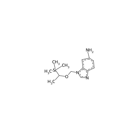 CC(OCn1cnc2ccc(N)cc21)[Si](C)(C)C